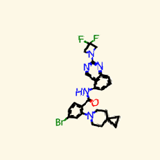 O=C(Nc1cccc2nc(N3CC(F)(F)C3)ncc12)c1ccc(Br)cc1N1CCC2(CC1)CC2